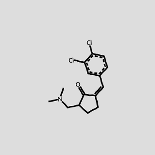 CN(C)CC1CCC(=Cc2ccc(Cl)c(Cl)c2)C1=O